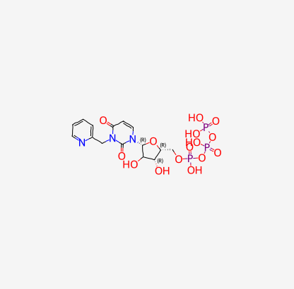 O=c1ccn([C@@H]2O[C@H](COP(=O)(O)OP(=O)(O)OP(=O)(O)O)[C@H](O)C2O)c(=O)n1Cc1ccccn1